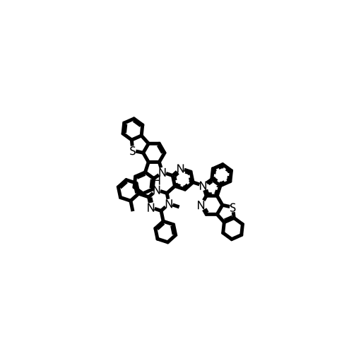 CC1CC=CC=C1C1=NC(C2=CCCC=C2)N(C)C(c2cc(-n3c4c(c5ccccc53)C3SC5=C(CCCC5)C3C=N4)cnc2N2C3=CCCC=C3C3C4SC5C=CC=CC5C4C=CC32)N1